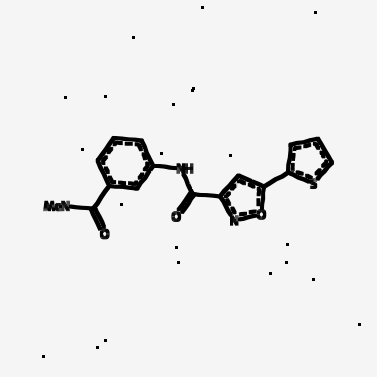 CNC(=O)c1cccc(NC(=O)c2cc(-c3cccs3)on2)c1